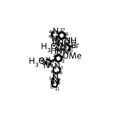 COc1cc(N2CCC(N3CC4CCC(C3)N4)CC2)c(-c2cnn(C)c2)cc1Nc1ncc(Br)c(Nc2ccc3nccnc3c2NS(C)(=O)=O)n1